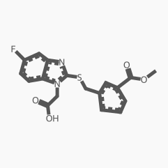 COC(=O)c1cccc(CSc2nc3cc(F)ccc3n2CC(=O)O)c1